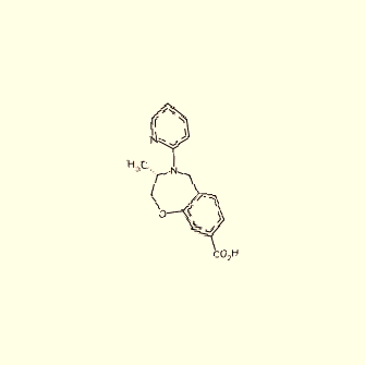 C[C@H]1COc2cc(C(=O)O)ccc2CN1c1ccccn1